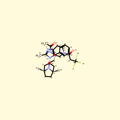 CC(=O)N[C@@H](CCN1[C@@H]2CC[C@H]1C[C@@H](n1c(C)nc3c1CN(C(=O)CC(F)(F)F)CC3)C2)c1ccccc1